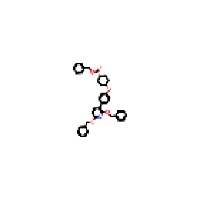 O=C(OCc1ccccc1)[C@H]1CC[C@H](Oc2ccc(-c3ccc(OCc4ccccc4)nc3OCc3ccccc3)cc2)CC1